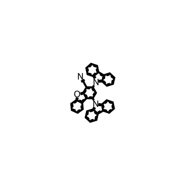 N#Cc1c(-n2c3ccccc3c3ccccc32)cc(-n2c3ccccc3c3ccccc32)c2c1oc1ccccc12